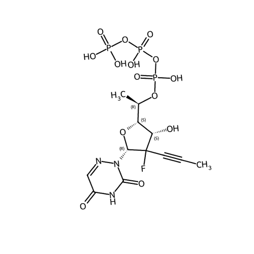 CC#CC1(F)[C@@H](O)[C@@H]([C@@H](C)OP(=O)(O)OP(=O)(O)OP(=O)(O)O)O[C@H]1n1ncc(=O)[nH]c1=O